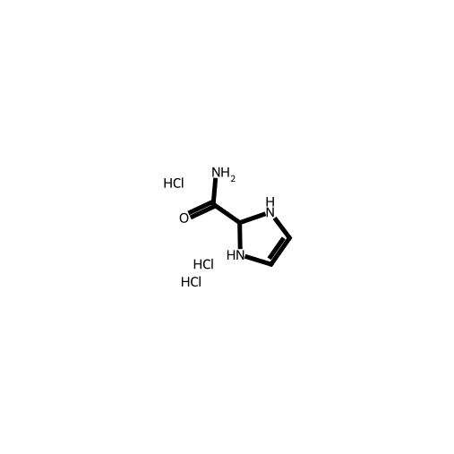 Cl.Cl.Cl.NC(=O)C1NC=CN1